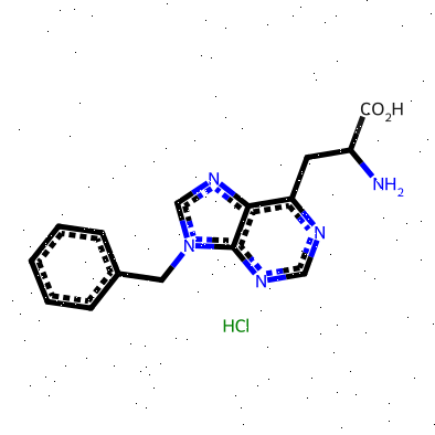 Cl.NC(Cc1ncnc2c1ncn2Cc1ccccc1)C(=O)O